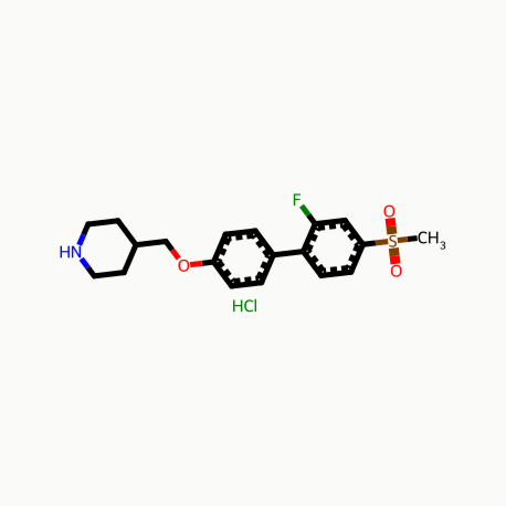 CS(=O)(=O)c1ccc(-c2ccc(OCC3CCNCC3)cc2)c(F)c1.Cl